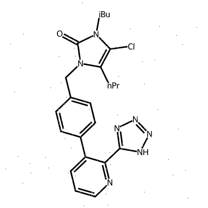 CCCc1c(Cl)n(C(C)CC)c(=O)n1Cc1ccc(-c2cccnc2-c2nnn[nH]2)cc1